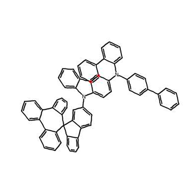 c1ccc(-c2ccc(N(c3ccc4c(c3)c3ccccc3n4-c3ccc4c(c3)C3(c5ccccc5-c5ccccc5-c5ccccc53)c3ccccc3-4)c3ccccc3-c3ccccc3)cc2)cc1